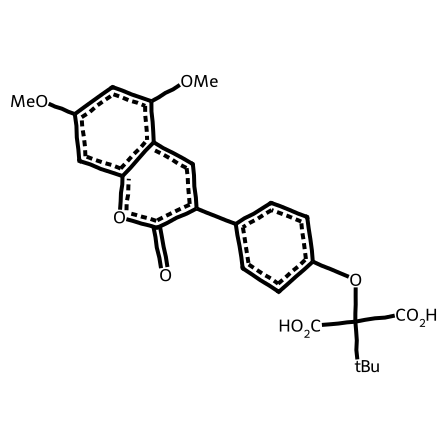 COc1cc(OC)c2cc(-c3ccc(OC(C(=O)O)(C(=O)O)C(C)(C)C)cc3)c(=O)oc2c1